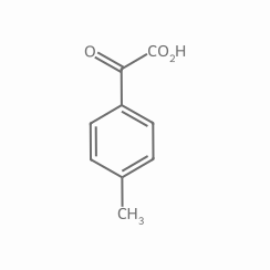 Cc1ccc(C(=O)C(=O)O)cc1